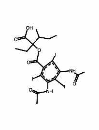 CCC(C)C(CC)(OC(=O)c1c(I)c(NC(C)=O)c(I)c(NC(C)=O)c1I)C(=O)O